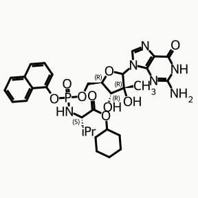 CC(C)[C@H](NP(=O)(OC[C@H]1OC(n2cnc3c(=O)[nH]c(N)nc32)[C@](C)(O)[C@@H]1O)Oc1cccc2ccccc12)C(=O)OC1CCCCC1